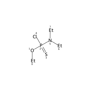 CCOP(=S)(Cl)N(CC)CC